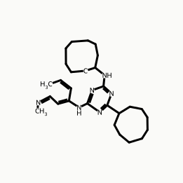 C\C=C/C(=C\C=N/C)Nc1nc(NC2CCCCCCCC2)nc(C2CCCCCCCC2)n1